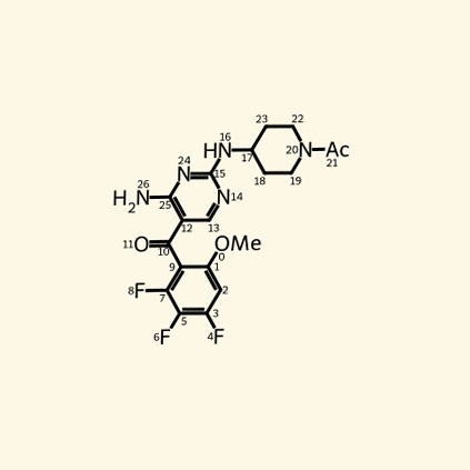 COc1cc(F)c(F)c(F)c1C(=O)c1cnc(NC2CCN(C(C)=O)CC2)nc1N